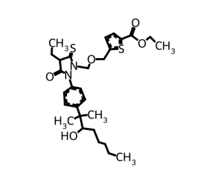 CCCCCC(O)C(C)(C)c1ccc(N2C(=O)C(CC)C(=S)N2COCc2ccc(C(=O)OCC)s2)cc1